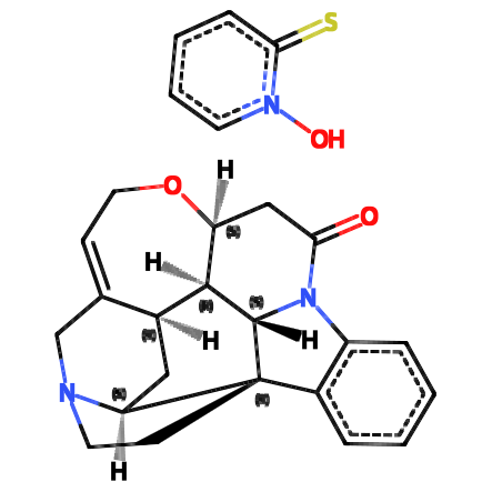 O=C1C[C@@H]2OCC=C3CN4CC[C@]56c7ccccc7N1[C@H]5[C@H]2[C@H]3C[C@H]46.On1ccccc1=S